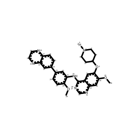 [2H]N1CCC(Oc2cc3c(Nc4cc(-c5ccc6nccnc6c5)ccc4OC)ncnc3cc2OC)CC1